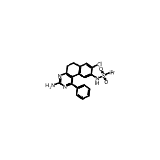 CC(C)S(=O)(=O)Nc1cc2c(cc1Cl)CCc1nc(N)nc(-c3ccccc3)c1-2